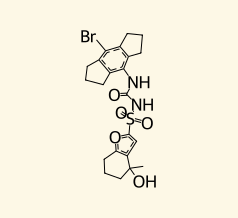 CC1(O)CCCc2oc(S(=O)(=O)NC(=O)Nc3c4c(c(Br)c5c3CCC5)CCC4)cc21